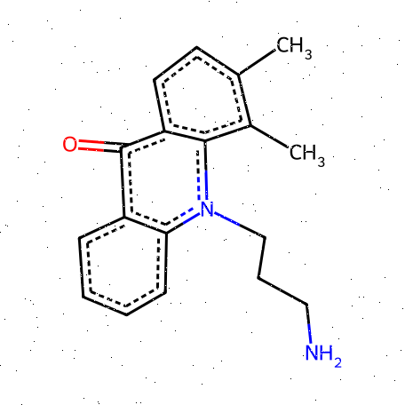 Cc1ccc2c(=O)c3ccccc3n(CCCN)c2c1C